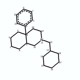 c1ccc(C23CCCCC2CN(CC2CCCCC2)CC3)cc1